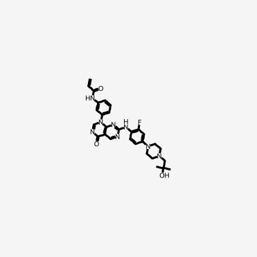 C=CC(=O)Nc1cccc(-n2cnc(=O)c3cnc(Nc4ccc(N5CCN(CC(C)(C)O)CC5)cc4F)nc32)c1